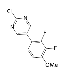 COc1ccc(-c2cnc(Cl)nc2)c(F)c1F